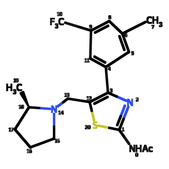 CC(=O)Nc1nc(-c2cc(C)cc(C(F)(F)F)c2)c(CN2CCC[C@H]2C)s1